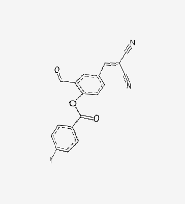 N#CC(C#N)=Cc1ccc(OC(=O)c2ccc(I)cc2)c(C=O)c1